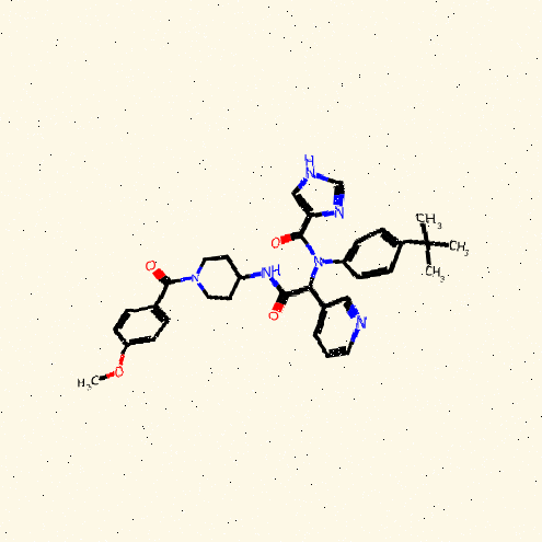 COc1ccc(C(=O)N2CCC(NC(=O)C(c3cccnc3)N(C(=O)c3c[nH]cn3)c3ccc(C(C)(C)C)cc3)CC2)cc1